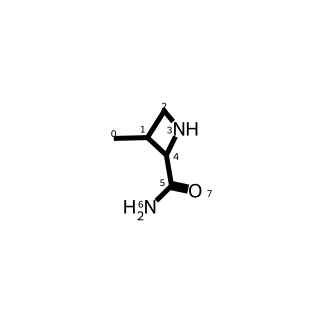 CC1CNC1C(N)=O